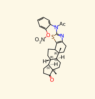 CC(=O)N(c1nc2c(s1)C1CC[C@@H]3[C@H](CC[C@]4(C)C(=O)CC[C@@H]34)[C@@]1(C)CC2)c1ccccc1O[N+](=O)[O-]